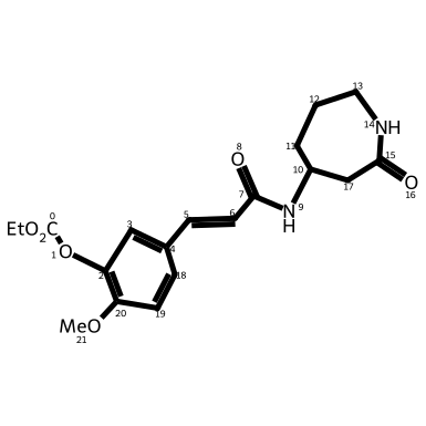 CCOC(=O)Oc1cc(C=CC(=O)NC2CCCNC(=O)C2)ccc1OC